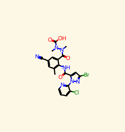 Cc1cc(C#N)cc(C(=O)N(C)N(C)C(=O)O)c1NC(=O)c1cc(Br)nn1-c1ncccc1Cl